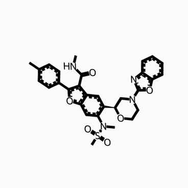 CNC(=O)c1c(-c2ccc(C)cc2)oc2cc(N(C)S(C)(=O)=O)c([C@H]3CN(c4nc5ccccc5o4)CCO3)cc12